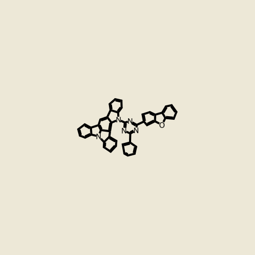 c1ccc(-c2nc(-c3ccc4c(c3)oc3ccccc34)nc(-n3c4ccccc4c4cc5c6ccccc6n6c7ccccc7c(c43)c56)n2)cc1